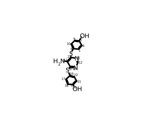 Nc1c(Sc2ccc(O)cc2)ncnc1Sc1ccc(O)cc1